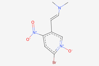 CN(C)/C=C/c1c[n+]([O-])c(Br)cc1[N+](=O)[O-]